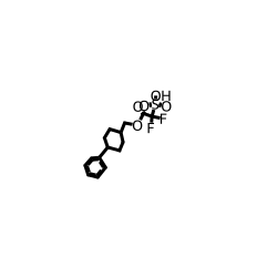 O=C(OCC1CCC(c2ccccc2)CC1)C(F)(F)S(=O)(=O)O